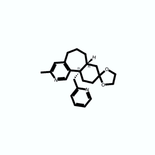 Cc1cc2c(cn1)[C@]1(Cc3ccccn3)CCC3(C[C@H]1CCC2)OCCO3